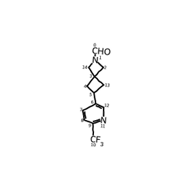 O=CN1CC2(CC(c3ccc(C(F)(F)F)nc3)C2)C1